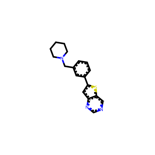 [c]1ncnc2cc(-c3cccc(CN4CCCCC4)c3)sc12